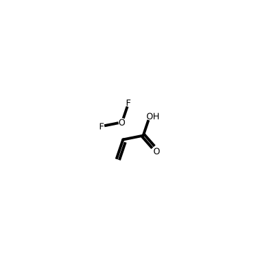 C=CC(=O)O.FOF